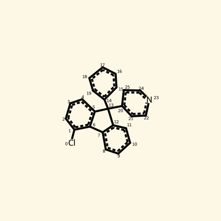 Clc1cccc2c1-c1ccccc1C2(c1ccccc1)c1ccncc1